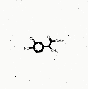 COC(=O)C(C)c1ccc(C#N)c(Cl)c1